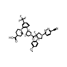 CC[C@H]1CN(C(=O)[C@]2(F)CN(c3ccc(C#N)nn3)C[C@H]2c2ccc(OC)cc2)C[C@@H]1c1ccc(C(F)(F)F)cc1N1CCC(C(=O)O)CC1